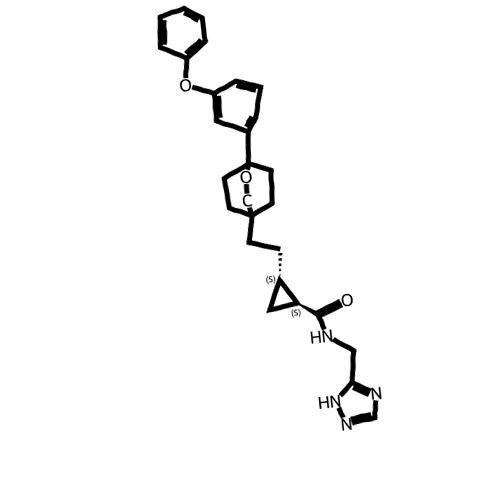 O=C(NCc1ncn[nH]1)[C@H]1C[C@@H]1CCC12CCC(c3cccc(Oc4ccccc4)c3)(CC1)OC2